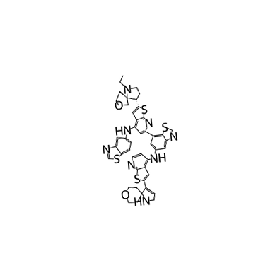 CCN1CC[C@H](c2cc3c(Nc4ccc5scnc5c4)cc(-c4cc(Nc5ccnc6sc(C7=CCNC78CCOCC8)cc56)cc5ncsc45)nc3s2)[C@@]12CCOC2